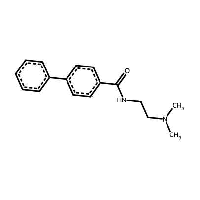 CN(C)CCNC(=O)c1[c]cc(-c2ccccc2)cc1